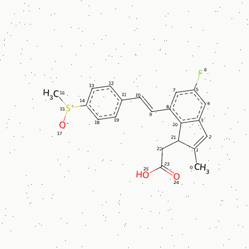 CC1=Cc2cc(F)cc(C=Cc3ccc([S+](C)[O-])cc3)c2C1CC(=O)O